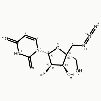 C=C1NC(=O)C=CN1[C@@H]1O[C@@](CO)(CN=[N+]=[N-])[C@@H](O)[C@H]1F